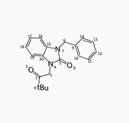 CC(C)(C)C(=O)Cn1c(=O)n(Cc2ccccc2)c2ccccc21